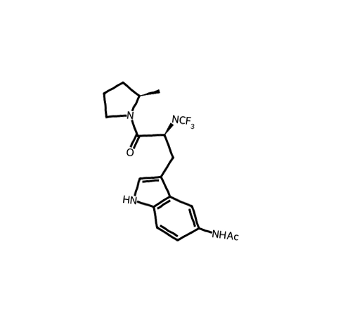 CC(=O)Nc1ccc2[nH]cc(C[C@H](NC(F)(F)F)C(=O)N3CCC[C@H]3C)c2c1